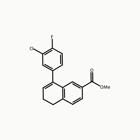 COC(=O)c1ccc2c(c1)C(c1ccc(F)c(Cl)c1)=CCC2